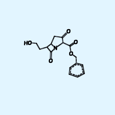 O=C1CC2C(CCO)C(=O)N2C1C(=O)OCc1ccccc1